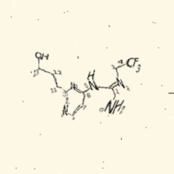 N/C(=N/CC(F)(F)F)Nc1ccnc(CCCO)n1